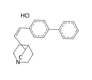 C(=C/C1CN2CCC1CC2)/c1ccc(-c2ccccc2)cc1.Cl